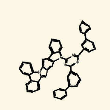 c1ccc(-c2cccc(-c3nc(-c4cccc(-c5ccccc5)c4)nc(-n4c5ccccc5c5cc6c(cc54)cc4c5ccccc5c5ccccc5n64)n3)c2)cc1